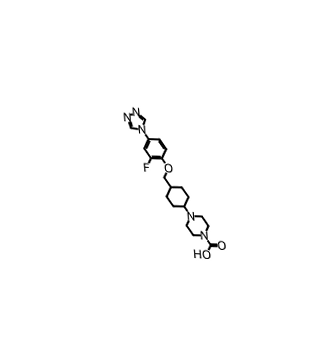 O=C(O)N1CCN(C2CCC(COc3ccc(-n4cnnc4)cc3F)CC2)CC1